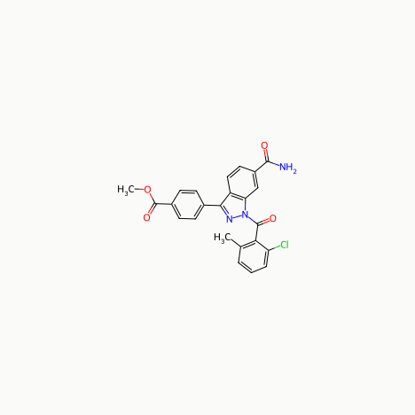 COC(=O)c1ccc(-c2nn(C(=O)c3c(C)cccc3Cl)c3cc(C(N)=O)ccc23)cc1